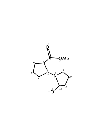 COC(=O)C1CCCN1N1CCCC1O